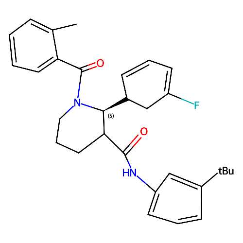 Cc1ccccc1C(=O)N1CCCC(C(=O)Nc2cccc(C(C)(C)C)c2)[C@@H]1C1C=CC=C(F)C1